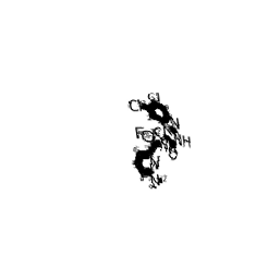 CN(C)c1cccc(C(=O)NC2(C(F)(F)F)C(=O)Nc3nc4cc(Cl)c(Cl)cc4n32)n1